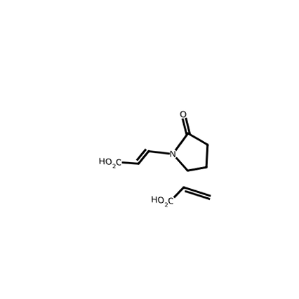 C=CC(=O)O.O=C(O)C=CN1CCCC1=O